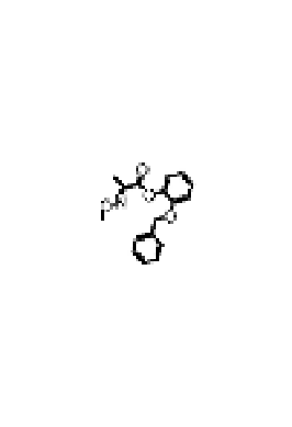 CON=C(C)C(=O)Oc1ccccc1OCc1ccccc1